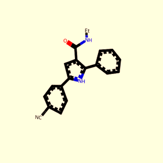 CCNC(=O)c1cc(-c2ccc(C#N)cc2)[nH]c1-c1ccccc1